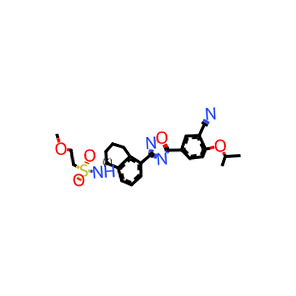 COCCS(=O)(=O)N[C@H]1CCCc2c(-c3noc(-c4ccc(OC(C)C)c(C#N)c4)n3)cccc21